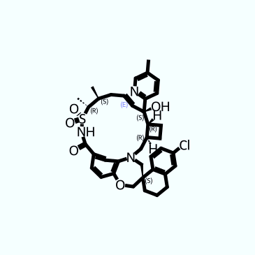 Cc1ccc([C@@]2(O)/C=C/C[C@H](C)[C@@H](C)S(=O)(=O)NC(=O)c3ccc4c(c3)N(C[C@@H]3CC[C@H]32)C[C@@]2(CCCc3cc(Cl)ccc32)CO4)nc1